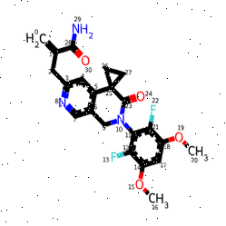 C=C(Cc1cc2c(cn1)CN(c1c(F)c(OC)cc(OC)c1F)C(=O)C21CC1)C(N)=O